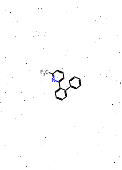 FC(F)(F)c1cccc(-c2ccccc2-c2ccccc2)n1